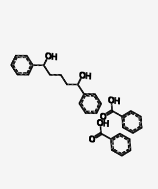 O=C(O)c1ccccc1.O=C(O)c1ccccc1.OC(CCCC(O)c1ccccc1)c1ccccc1